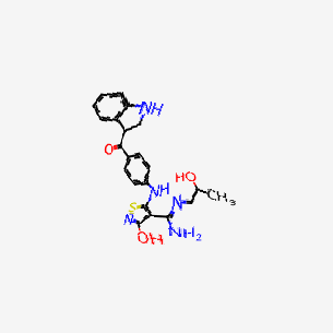 CC(O)CN=C(N)c1c(O)nsc1Nc1ccc(C(=O)C2CNc3ccccc32)cc1